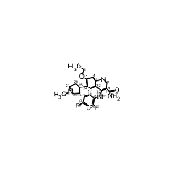 CCOc1cc2ncc(C(N)=O)c(Nc3ccc(F)cc3F)c2cc1C1CCN(C)CC1